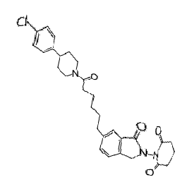 O=C(CCCCCc1ccc2c(c1)C(=O)N(N1C(=O)CCCC1=O)C2)N1CCC(c2ccc(Cl)cc2)CC1